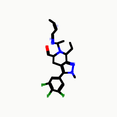 C/C=C\C=N/C(C)N1C(C=O)Cc2c(nn(C)c2-c2cc(F)c(F)c(F)c2)C1CC